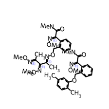 CNC(=O)/C(=N/OC)c1ccccc1CO/N=C(C)/C(=N/OC)C(/C)=N/OC.CNC(=O)/C(=N/OC)c1ccccc1COc1cc(C)ccc1C.[Fe]